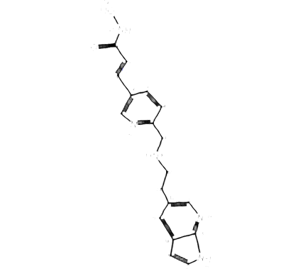 O=C(/C=C/c1ccc(CNCCc2cnc3[nH]ccc3c2)nc1)NO